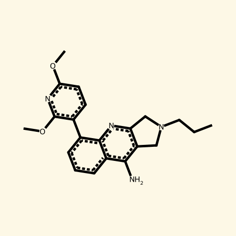 CCCN1Cc2nc3c(-c4ccc(OC)nc4OC)cccc3c(N)c2C1